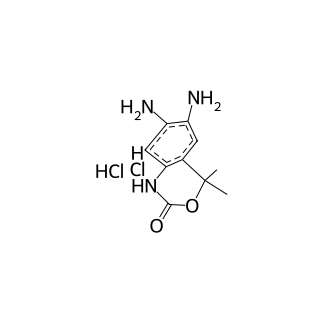 CC1(C)OC(=O)Nc2cc(N)c(N)cc21.Cl.Cl